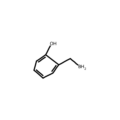 BCc1ccccc1O